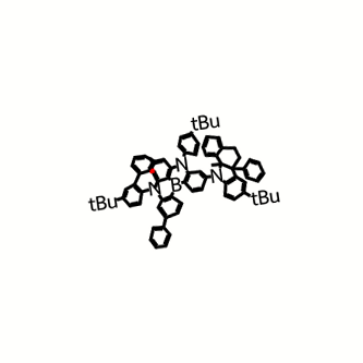 Cc1cc2c3c(c1)N(c1ccc(C(C)(C)C)cc1-c1ccccc1)c1cc(-c4ccccc4)ccc1B3c1ccc(N3c4ccc(C(C)(C)C)cc4C4(c5ccccc5)CCc5ccccc5C34C)cc1N2c1ccc(C(C)(C)C)cc1